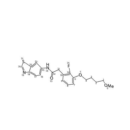 COCCCCOc1cccc(CC(=O)Nc2ccc3ncsc3c2)c1F